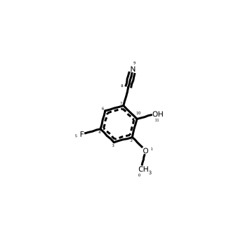 COc1cc(F)cc(C#N)c1O